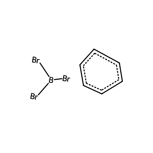 BrB(Br)Br.c1ccccc1